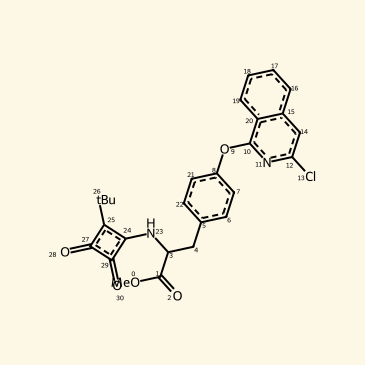 COC(=O)C(Cc1ccc(Oc2nc(Cl)cc3ccccc23)cc1)Nc1c(C(C)(C)C)c(=O)c1=O